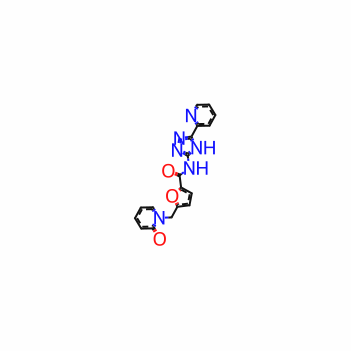 O=C(Nc1nnc(-c2ccccn2)[nH]1)c1ccc(Cn2ccccc2=O)o1